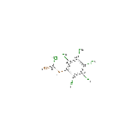 Fc1c(F)c(F)c(SC(=S)Cl)c(F)c1F